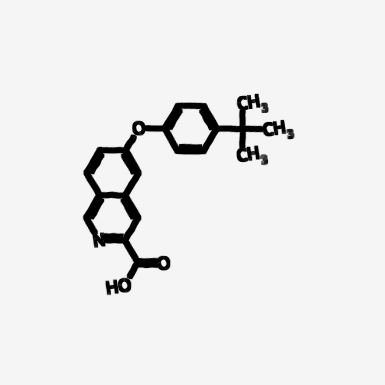 CC(C)(C)c1ccc(Oc2ccc3cnc(C(=O)O)cc3c2)cc1